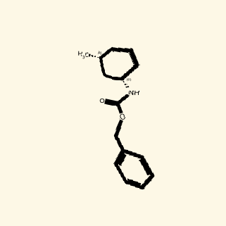 C[C@@H]1CCC[C@H](NC(=O)OCc2ccccc2)C1